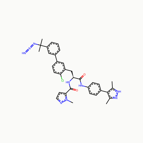 Cc1n[nH]c(C)c1-c1ccc(NC(=O)[C@H](Cc2cc(-c3cccc(C(C)(C)N=[N+]=N)c3)ccc2Cl)NC(=O)c2ccnn2C)cc1